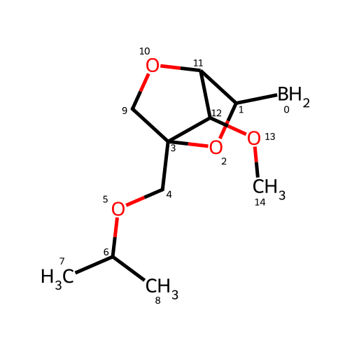 BC1OC2(COC(C)C)COC1C2OC